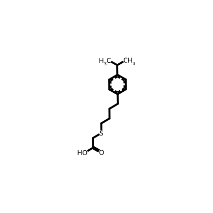 CC(C)c1ccc(CCCCSCC(=O)O)cc1